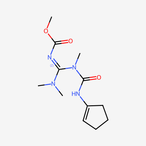 COC(=O)/N=C(/N(C)C)N(C)C(=O)NC1=CCCC1